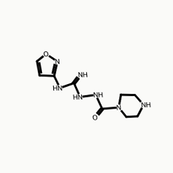 N=C(NNC(=O)N1CCNCC1)Nc1ccon1